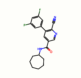 N#Cc1ncc(C(=O)NC2CCCCCC2)cc1-c1cc(F)cc(F)c1